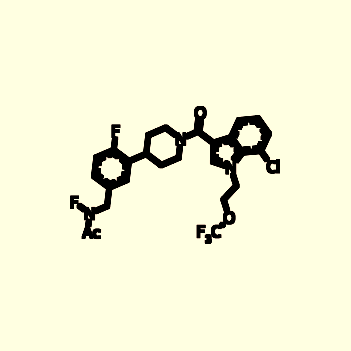 CC(=O)N(F)Cc1ccc(F)c(C2CCN(C(=O)c3cn(CCOC(F)(F)F)c4c(Cl)cccc34)CC2)c1